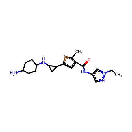 CCn1cc(NC(=O)c2cc(C3CC3NC3CCC(N)CC3)sc2C)cn1